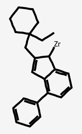 CCC1(CC2=Cc3c(-c4ccccc4)cccc3[CH]2[Zr])CCCCC1